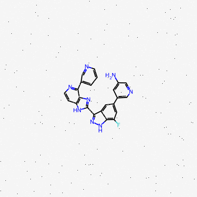 Nc1cncc(-c2cc(F)c3[nH]nc(-c4nc5c(-c6cccnc6)nccc5[nH]4)c3c2)c1